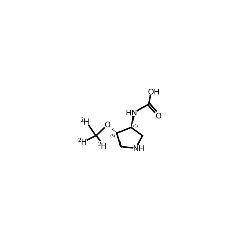 [2H]C([2H])([2H])O[C@H]1CNC[C@@H]1NC(=O)O